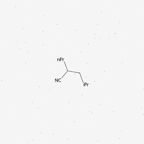 CCCC(C#N)CC(C)C